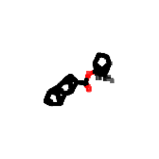 CCC1(OC(=O)C2CC3CC2C2C4C=CC(C4)C32)CC2CCC1C2(C)C